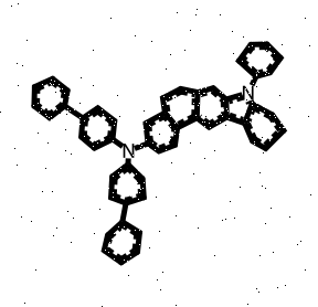 c1ccc(-c2ccc(N(c3ccc(-c4ccccc4)cc3)c3ccc4c(ccc5cc6c(cc54)c4ccccc4n6-c4ccccc4)c3)cc2)cc1